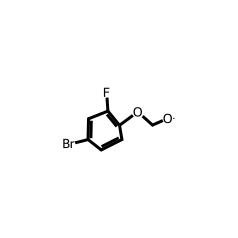 [O]COc1ccc(Br)cc1F